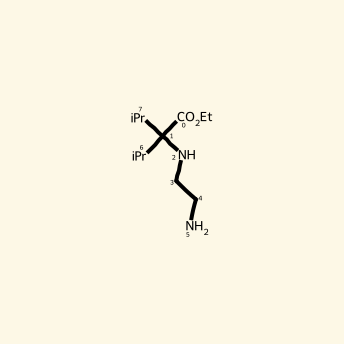 CCOC(=O)C(NCCN)(C(C)C)C(C)C